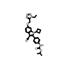 CCn1nnnc1COc1ccc2c(C#N)c(-c3ccc(NC(=O)OC(C)C)cc3)n(C3CCC3)c2c1